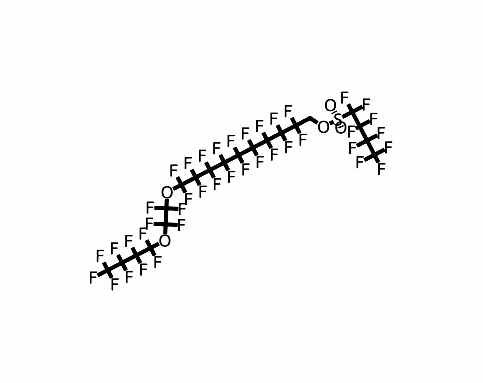 O=S(=O)(OCC(F)(F)C(F)(F)C(F)(F)C(F)(F)C(F)(F)C(F)(F)C(F)(F)C(F)(F)C(F)(F)OC(F)(F)C(F)(F)OC(F)(F)C(F)(F)C(F)(F)C(F)(F)F)C(F)(F)C(F)(F)C(F)(F)C(F)(F)F